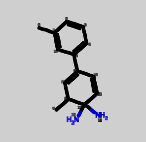 Cc1cccc(C2=CC(C)C(N)(N)C=C2)c1